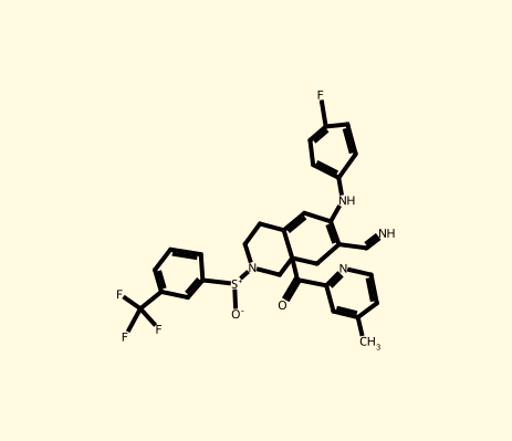 Cc1ccnc(C(=O)C23CC(C=N)=C(Nc4ccc(F)cc4)C=C2CCN([S+]([O-])c2cccc(C(F)(F)F)c2)C3)c1